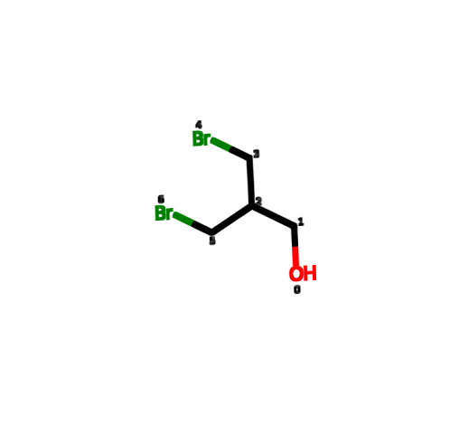 OCC(CBr)CBr